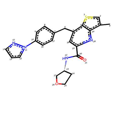 Cc1csc2c(Cc3ccc(-n4cccn4)cc3)cc(C(=O)N[C@@H]3CCOC3)nc12